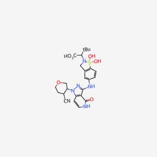 CC(C)(C)C(C(=O)O)N1Cc2cc(Nc3nn(C4COCCC4C#N)c4cc[nH]c(=O)c34)ccc2S1(O)O